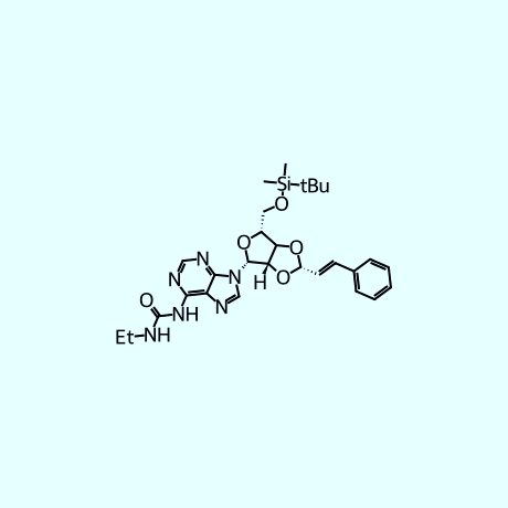 CCNC(=O)Nc1ncnc2c1ncn2[C@@H]1O[C@H](CO[Si](C)(C)C(C)(C)C)C2O[C@H](/C=C/c3ccccc3)O[C@@H]21